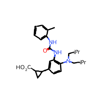 Cc1ccccc1NC(=O)Nc1cc(C2CC2C(=O)O)ccc1N(CC(C)C)CC(C)C